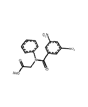 COC(=O)CN(C(=O)c1cc([N+](=O)[O-])cc([N+](=O)[O-])c1)c1ccccc1